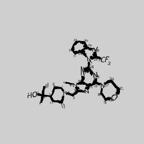 Cn1c(CN2CCC(C(C)(C)O)CC2)nc2c(N3CCOCC3)nc(-n3c(C(F)(F)F)nc4ccccc43)nc21